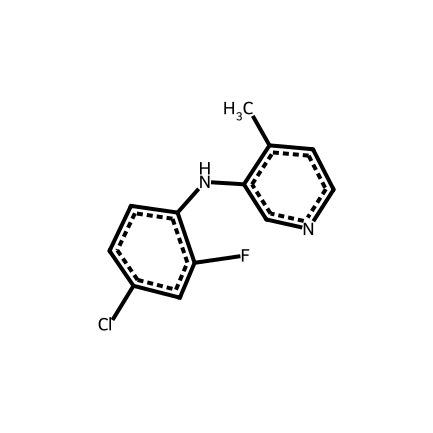 Cc1ccncc1Nc1ccc(Cl)cc1F